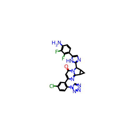 Nc1ccc(-c2cnc(C3C4CC4c4nc(-c5cc(Cl)ccc5-n5cnnn5)cc(=O)n43)[nH]2)c(F)c1F